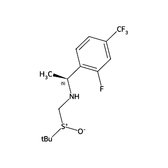 C[C@H](NC[S+]([O-])C(C)(C)C)c1ccc(C(F)(F)F)cc1F